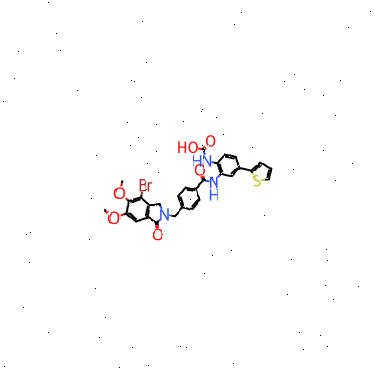 COc1cc2c(c(Br)c1OC)CN(Cc1ccc(C(=O)Nc3cc(-c4cccs4)ccc3NC(=O)O)cc1)C2=O